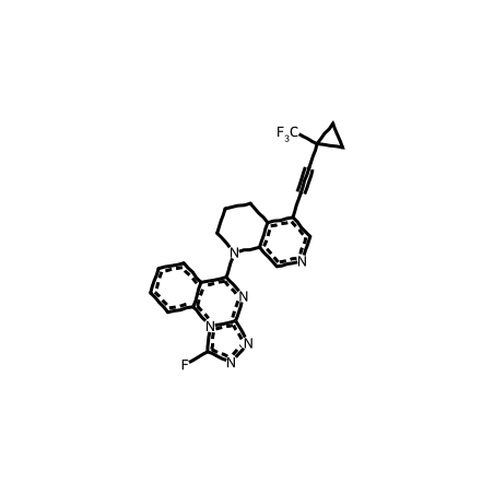 Fc1nnc2nc(N3CCCc4c(C#CC5(C(F)(F)F)CC5)cncc43)c3ccccc3n12